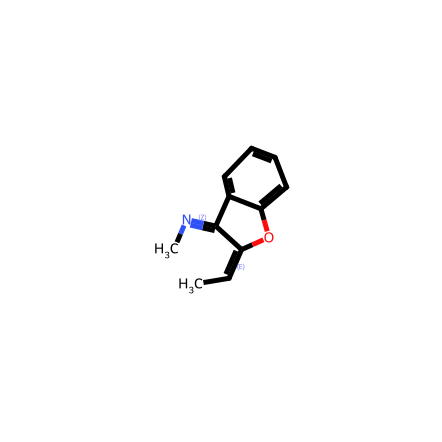 C/C=C1/Oc2ccccc2/C1=N/C